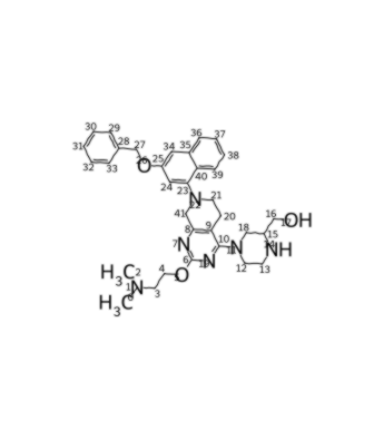 CN(C)CCOc1nc2c(c(N3CCNC(CO)C3)n1)CCN(c1cc(OCc3ccccc3)cc3ccccc13)C2